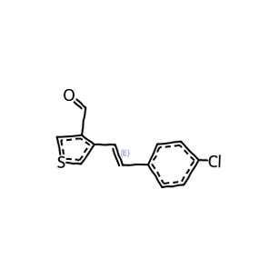 O=Cc1cscc1/C=C/c1ccc(Cl)cc1